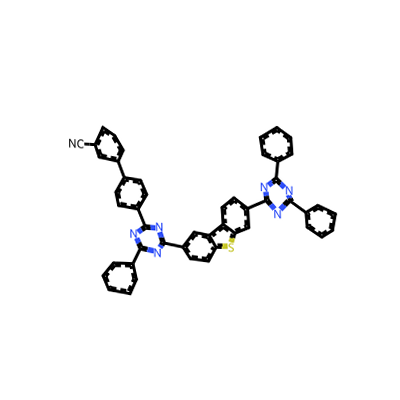 N#Cc1cccc(-c2ccc(-c3nc(-c4ccccc4)nc(-c4ccc5sc6cc(-c7nc(-c8ccccc8)nc(-c8ccccc8)n7)ccc6c5c4)n3)cc2)c1